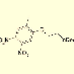 CCCCCCCCCCCCOc1cc([N+](=O)[O-])c([N+](=O)[O-])cc1C